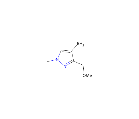 Bc1cn(C)nc1COC